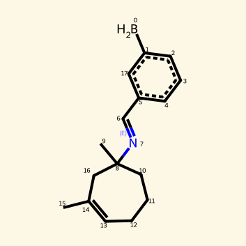 Bc1cccc(/C=N/C2(C)CCCC=C(C)C2)c1